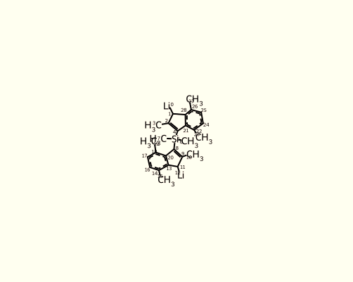 [Li][CH]1C(C)=C([Si](C)(C)C2=C(C)[CH]([Li])c3c(C)ccc(C)c32)c2c(C)ccc(C)c21